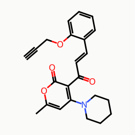 C#CCOc1ccccc1C=CC(=O)c1c(N2CCCCC2)cc(C)oc1=O